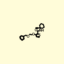 C#CC1(NC(=O)c2sccc2OCCOCc2ccccc2)CCCCC1